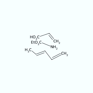 C=CC(=O)O.C=CC=CC.CCOC(N)=O